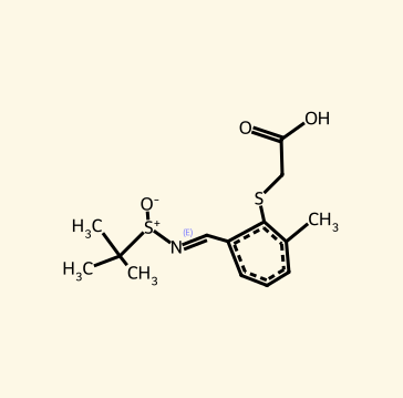 Cc1cccc(/C=N/[S+]([O-])C(C)(C)C)c1SCC(=O)O